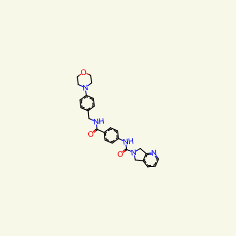 O=C(NCc1ccc(N2CCOCC2)cc1)c1ccc(NC(=O)N2Cc3cccnc3C2)cc1